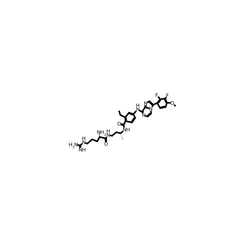 CCc1cc(Nc2nccn3c(-c4ccc(OC)c(F)c4F)cnc23)ccc1C(=O)N[C@H](C)CCNC(=O)[C@@H](N)CCCNC(=N)N